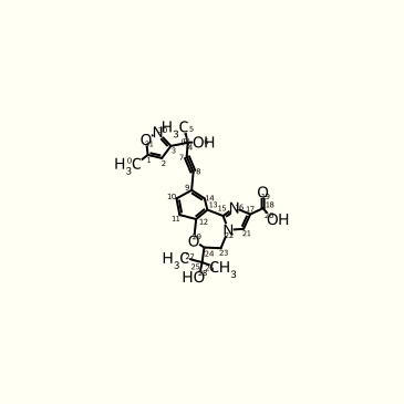 Cc1cc([C@](C)(O)C#Cc2ccc3c(c2)-c2nc(C(=O)O)cn2CC(C(C)(C)O)O3)no1